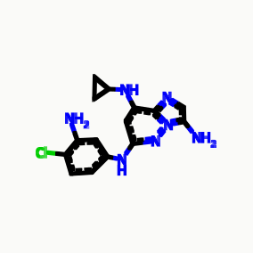 Nc1cc(Nc2cc(NC3CC3)c3ncc(N)n3n2)ccc1Cl